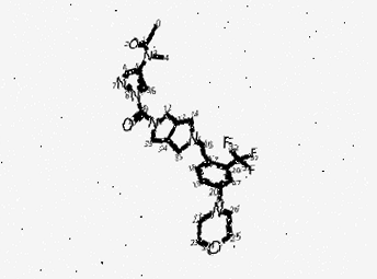 CC(=O)N(C)c1cnn(C(=O)N2CC3CN(Cc4ccc(N5CCOCC5)cc4C(F)(F)F)CC3C2)c1